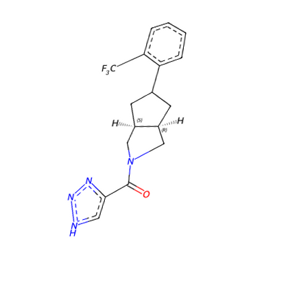 O=C(c1c[nH]nn1)N1C[C@H]2CC(c3ccccc3C(F)(F)F)C[C@H]2C1